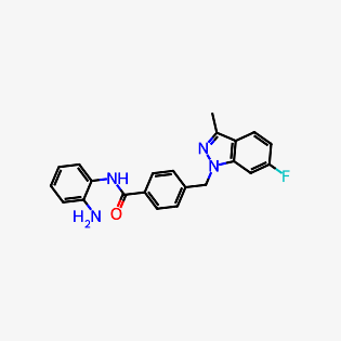 Cc1nn(Cc2ccc(C(=O)Nc3ccccc3N)cc2)c2cc(F)ccc12